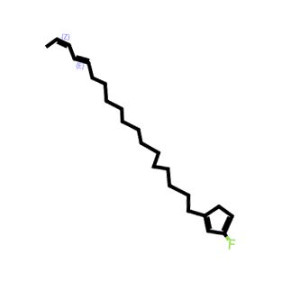 C/C=C\C=C\CCCCCCCCCCCCCC1=CC(F)=CC1